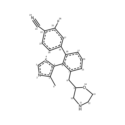 Cc1ncsc1-c1c(CC2CNCCO2)cccc1-c1ccc(C#N)c(F)c1